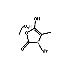 CCCn1c(C)c(O)oc1=O.CS(=O)(=O)O